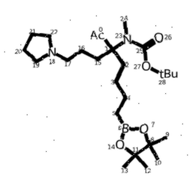 CC(=O)C(CCCCB1OC(C)(C)C(C)(C)O1)(CCCN1CCCC1)N(C)C(=O)OC(C)(C)C